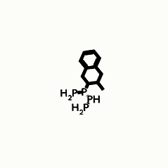 CC1Cc2ccccc2CC1P(P)PP